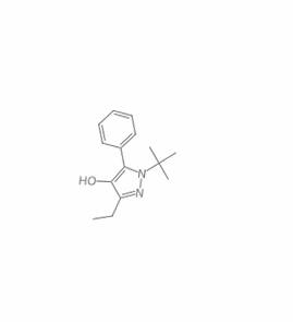 CCc1nn(C(C)(C)C)c(-c2ccccc2)c1O